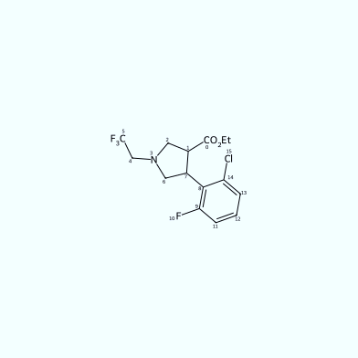 CCOC(=O)C1CN(CC(F)(F)F)CC1c1c(F)cccc1Cl